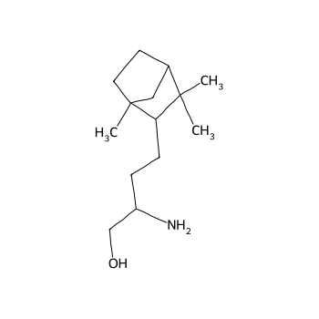 CC12CCC(C1)C(C)(C)C2CCC(N)CO